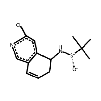 CC(C)(C)[S@+]([O-])NC1CC=Cc2cnc(Cl)cc21